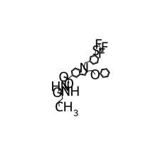 CCCC(=O)NNOC(=O)c1ccc2c(c1)cc(COc1ccccc1)n2Cc1cccc(SC(F)(F)F)c1